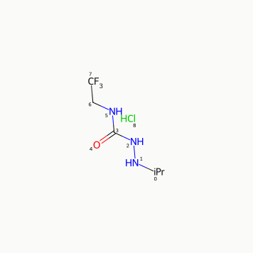 CC(C)NNC(=O)NCC(F)(F)F.Cl